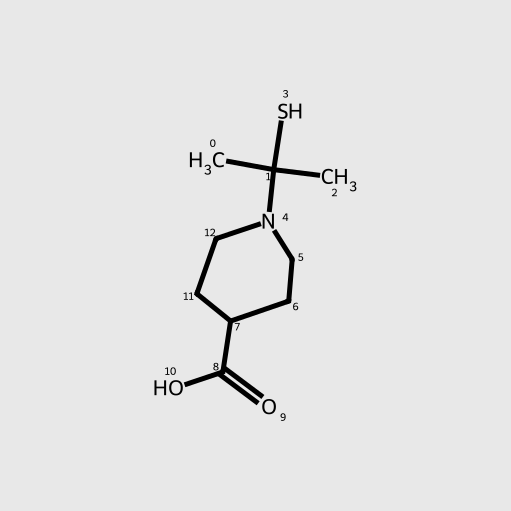 CC(C)(S)N1CCC(C(=O)O)CC1